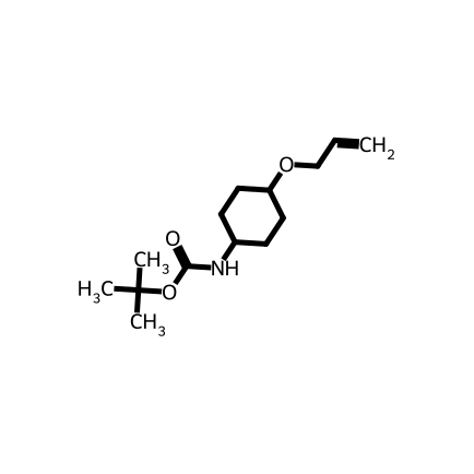 C=CCOC1CCC(NC(=O)OC(C)(C)C)CC1